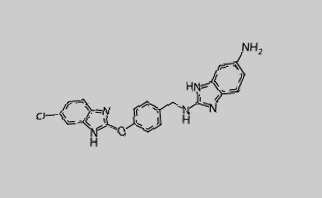 Nc1ccc2nc(NCc3ccc(Oc4nc5ccc(Cl)cc5[nH]4)cc3)[nH]c2c1